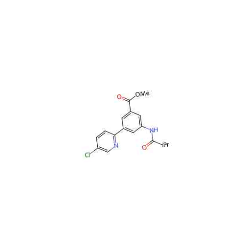 COC(=O)c1cc(NC(=O)C(C)C)cc(-c2ccc(Cl)cn2)c1